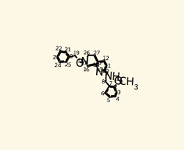 COc1ccccc1CNc1ccc2c(n1)=CN(OCc1ccccc1)CC=2